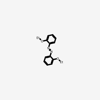 CCOc1ccccc1N=Nc1ccccc1OCC